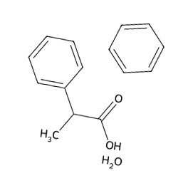 CC(C(=O)O)c1ccccc1.O.c1ccccc1